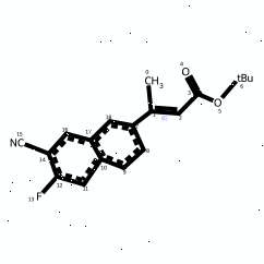 C/C(=C\C(=O)OC(C)(C)C)c1ccc2cc(F)c(C#N)cc2c1